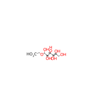 O=C(O)COC(O)[C@H](O)[C@@H](O)[C@H](O)[C@H](O)CO